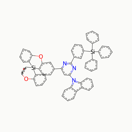 c1ccc([Si](c2ccccc2)(c2ccccc2)c2cccc(-c3nc(-c4ccc5c(c4)Oc4ccccc4[Si]54c5ccccc5Oc5ccccc54)cc(-n4c5ccccc5c5ccccc54)n3)c2)cc1